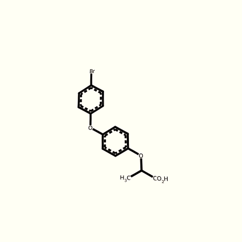 CC(Oc1ccc(Oc2ccc(Br)cc2)cc1)C(=O)O